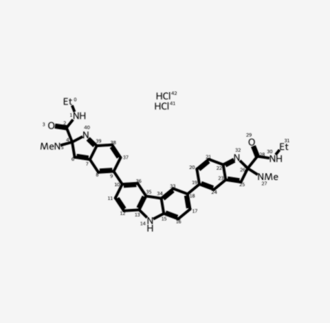 CCNC(=O)C1(NC)C=c2cc(-c3ccc4[nH]c5ccc(-c6ccc7c(c6)=CC(NC)(C(=O)NCC)N=7)cc5c4c3)ccc2=N1.Cl.Cl